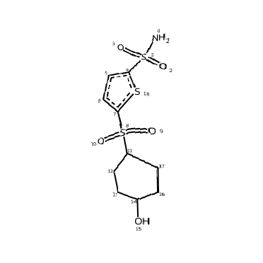 NS(=O)(=O)c1ccc(S(=O)(=O)C2CCC(O)CC2)s1